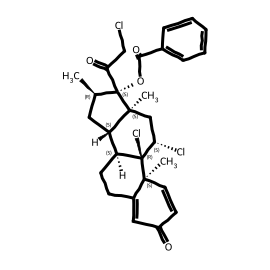 C[C@@H]1C[C@H]2[C@@H]3CCC4=CC(=O)C=C[C@]4(C)[C@@]3(Cl)[C@@H](Cl)C[C@]2(C)[C@]1(OC(=O)c1ccccc1)C(=O)CCl